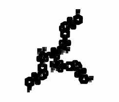 O=C(OC(COP(=O)(OCC(OC(=O)N1CCC2(CC1)CN(S(=O)(=O)c1cccc(F)c1)CCO2)C(F)(F)F)OCC(OC(=O)N1CCC2(CC1)CN(S(=O)(=O)c1cccc(F)c1)CCO2)C(F)(F)F)C(F)(F)F)N1CCC2(CC1)CN(S(=O)(=O)c1cccc(F)c1)CCO2